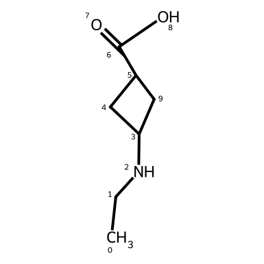 CCNC1CC(C(=O)O)C1